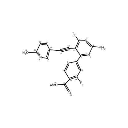 CCc1nc(N)nc(-c2ccc(C(=O)OC)c(F)c2)c1C#Cc1ccc(C)nc1